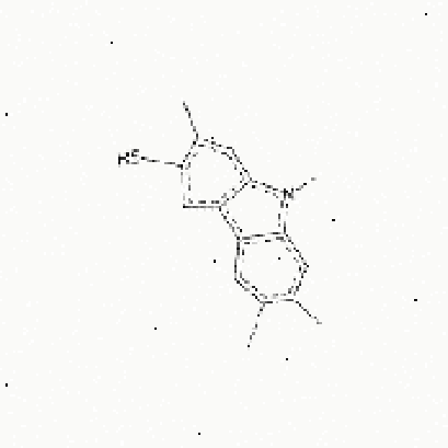 Cc1cc2c3cc(S)c(C)cc3n(C)c2cc1C